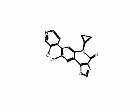 O=c1c2ncoc2c2cc(F)c(-c3ccncc3Cl)cc2n1C1CC1